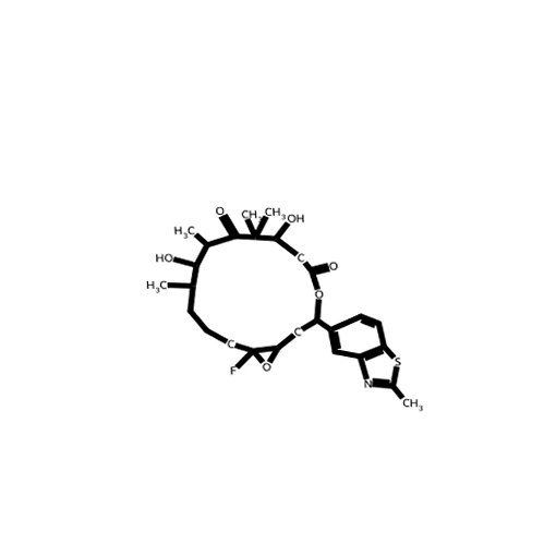 Cc1nc2cc(C3CC4OC4(F)CCCC(C)C(O)C(C)C(=O)C(C)(C)C(O)CC(=O)O3)ccc2s1